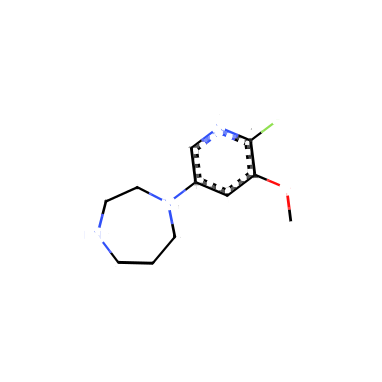 COc1cc(N2CCCNCC2)cnc1F